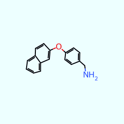 NCc1ccc(Oc2ccc3ccccc3c2)cc1